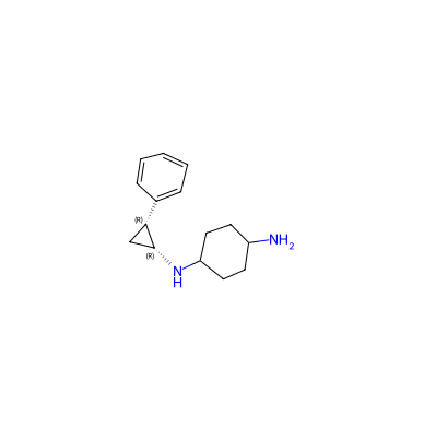 NC1CCC(N[C@@H]2C[C@@H]2c2ccccc2)CC1